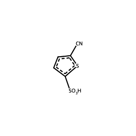 N#Cc1ccc(S(=O)(=O)O)s1